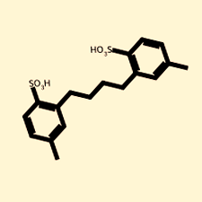 Cc1ccc(S(=O)(=O)O)c(CCCCc2cc(C)ccc2S(=O)(=O)O)c1